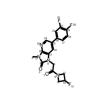 Cn1c(=O)n(CC(=O)N2CC(F)C2)c2cc(-c3ccc(F)c(F)c3)cnc21